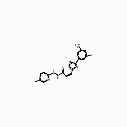 Cc1ccc(NNC(=O)/C=C\n2cnc(-c3cc(C)cc(C(F)(F)F)c3)n2)nc1